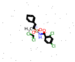 C/C(=C\c1ccccc1)S(=O)(=O)NC(=O)c1ccc(Cl)cc1Cl.ClCCl